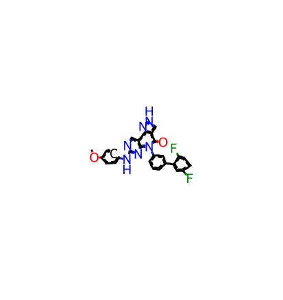 COc1ccc(Nc2ncc3c4n[nH]cc4c(=O)n(-c4cccc(-c5cc(F)ccc5F)c4)c3n2)cc1